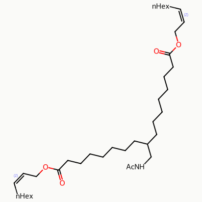 CCCCCC/C=C\COC(=O)CCCCCCCC(CCCCCCCC(=O)OC/C=C\CCCCCC)CNC(C)=O